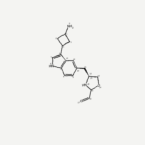 NC1CC(c2c[nH]c3ccc(C[C@H]4COC(C=O)N4)cc23)C1